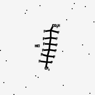 Cl.O=C(O)C(F)(F)C(F)(F)C(F)(F)C(F)(F)C(F)(F)C(F)(F)C(F)(F)F